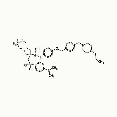 CCCCC1(CCCC)CS(=O)(=O)c2ccc(N(C)C)cc2[C@@H](c2ccc(OCc3ccc(CN4CCN(CCC)CC4)cc3)cc2)[C@H]1O